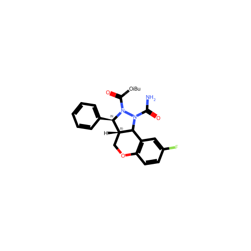 CC(C)COC(=O)N1[C@H](c2ccccc2)[C@H]2COc3ccc(F)cc3C2N1C(N)=O